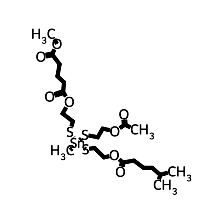 COC(=O)CCCC(=O)OCC[S][Sn]([CH3])([S]CCOC(C)=O)[S]CCOC(=O)CCCC(C)C